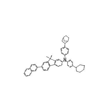 CC1(C)c2cc(-c3ccc4ccccc4c3)ccc2-c2ccc(N(c3ccc(C4CCCCC4)cc3)c3ccc(C4CC5CCC4C5)cc3)cc21